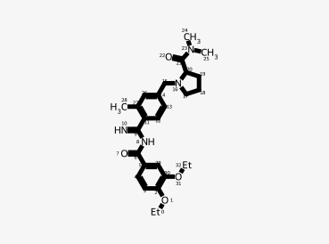 CCOc1ccc(C(=O)NC(=N)c2ccc(CN3CCCC3C(=O)N(C)C)cc2C)cc1OCC